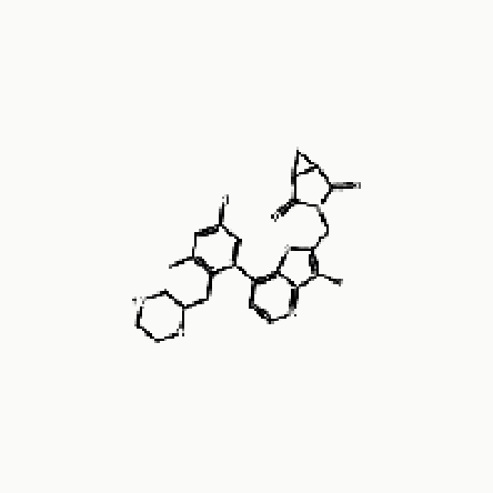 Cc1cc(Cl)cc(-c2ccnc3c(F)c(CN4C(=O)C5CC5C4=O)sc23)c1CC1CNCCO1